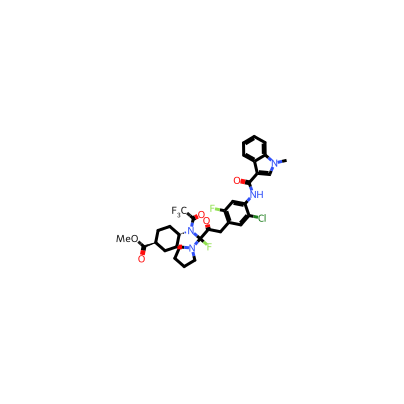 COC(=O)[C@H]1CC[C@H](N(C(=O)C(F)(F)F)C(F)(C(=O)Cc2cc(Cl)c(NC(=O)c3cn(C)c4ccccc34)cc2F)N2CCCC2)CC1